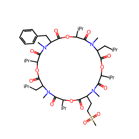 CC(C)CC1C(=O)OC(C(C)C)C(=O)N(C)C(CCS(C)(=O)=O)C(=O)OC(C(C)C)C(=O)N(C)C(CC(C)C)C(=O)OC(C(C)C)C(=O)N(C)C(Cc2ccccc2)C(=O)OC(C(C)C)C(=O)N1C